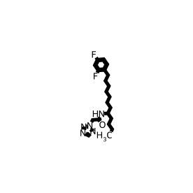 CCCCC(CCCCCCCc1ccc(F)cc1F)NC(=O)Cn1ncnn1